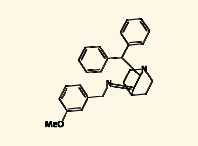 COc1cccc(C/N=C2\C3CCN(CC3)C2C(c2ccccc2)c2ccccc2)c1